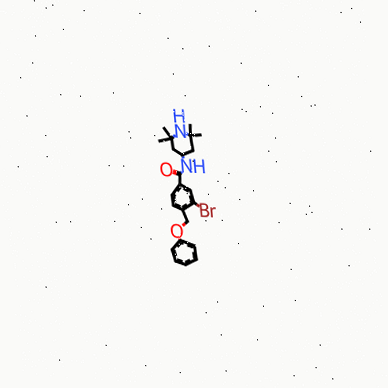 CC1(C)CC(NC(=O)c2ccc(COc3ccccc3)c(Br)c2)CC(C)(C)N1